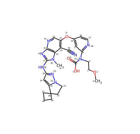 COCCN(C(=O)O)c1cc(Oc2cnc3nc(Nc4cc5n(n4)CCC54CCC4)n(C)c3c2C#N)ccn1